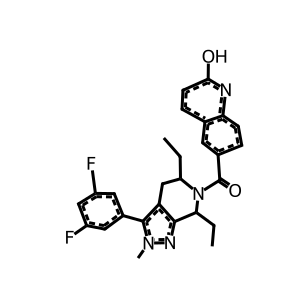 CCC1Cc2c(nn(C)c2-c2cc(F)cc(F)c2)C(CC)N1C(=O)c1ccc2nc(O)ccc2c1